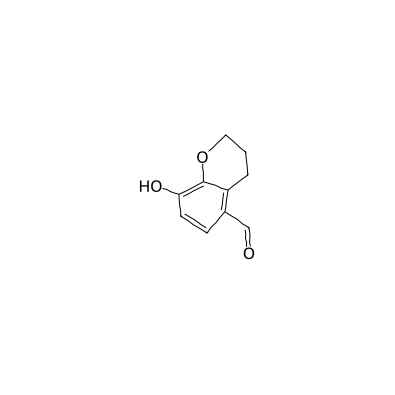 O=Cc1ccc(O)c2c1CCCO2